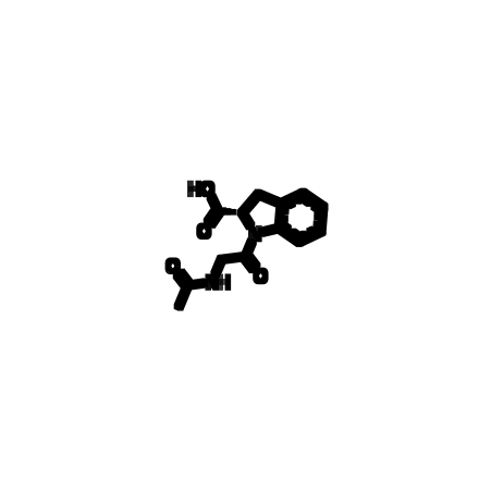 CC(=O)NCC(=O)N1c2ccccc2C[C@H]1C(=O)O